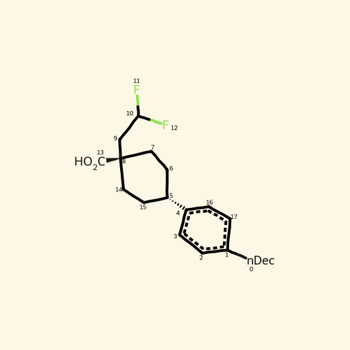 CCCCCCCCCCc1ccc([C@H]2CC[C@](CC(F)F)(C(=O)O)CC2)cc1